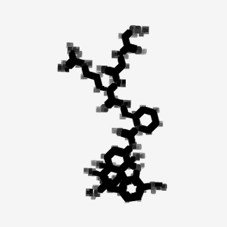 COc1ccc2c3c1O[C@H]1C(OC(=O)N4CCCC[C@@H]4CNC(=O)[C@H](CCCNC(=N)N)NC(=O)CNC(=O)CC(=O)O)=CC[C@H]4[C@@H](C2)N(C)CC[C@]314